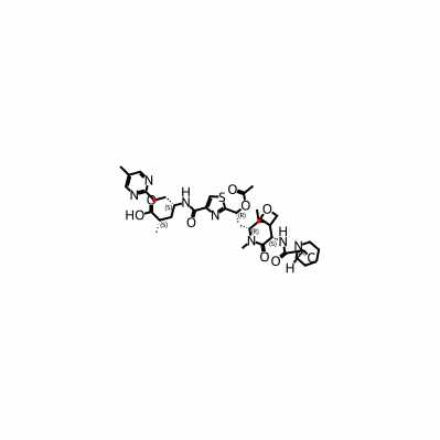 CC(=O)O[C@H](C[C@H](C(C)C)N(C)C(=O)[C@@H](NC(=O)[C@H]1CC2CCN1CC2)C1COC1)c1nc(C(=O)N[C@@H](CCc2ncc(C)cn2)C[C@H](C)C(=O)O)cs1